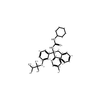 O=C(NC1CCCCC1)N[C@@](Cc1ccccc1)(c1cccc(OC(F)(F)C(F)F)c1)c1ccc(I)cn1